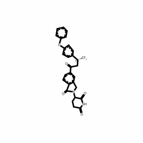 O=C1CCC(N2Cc3cc(C(=O)C[C@H](c4ccc(Oc5ccccc5)cc4)C(F)(F)F)ccc3C2=O)C(=O)N1